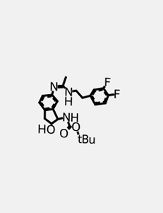 CC(=Nc1ccc2c(c1)C(NC(=O)OC(C)(C)C)[C@H](O)C2)NCCc1ccc(F)c(F)c1